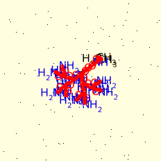 CC(C)(C)OC(=O)NCCCOCCOCCOCCCN(CCC(=O)NCCN(CCC(=O)NCCN(CCC(=O)NCCN)CCC(=O)NCCN)CCC(=O)NCCN(CCC(=O)NCCN)CCC(=O)NCCN)CCC(=O)NCCN(CCC(=O)NCCN(CCC(=O)NCCN)CCC(=O)NCCN)CCC(=O)NCCN(CCC(=O)NCCN)CCC(=O)NCCN